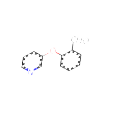 O=Cc1ccccc1Oc1cccnc1